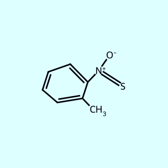 Cc1ccccc1[N+]([O-])=S